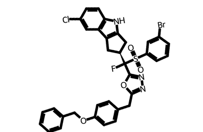 O=S(=O)(c1cccc(Br)c1)C(F)(c1nnc(Cc2ccc(OCc3ccccc3)cc2)o1)[C@@H]1Cc2[nH]c3ccc(Cl)cc3c2C1